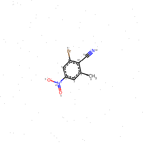 Cc1cc([N+](=O)[O-])cc(Br)c1C#N